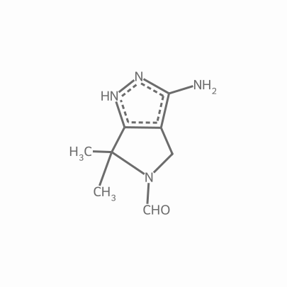 CC1(C)c2[nH]nc(N)c2CN1C=O